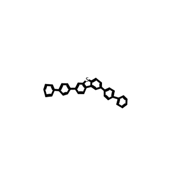 c1ccc(-c2ccc(-c3ccc4c(c3)sc3ccc(-c5ccc(-c6ccccc6)cc5)cc34)cc2)cc1